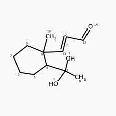 CC(O)(O)C1CCCCC1(C)/C=C/C=O